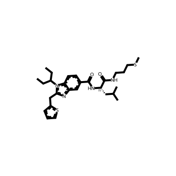 CCC(CC)n1c(Cc2cccs2)nc2cc(C(=O)N[C@@H](CC(C)C)C(=O)NCCCSC)ccc21